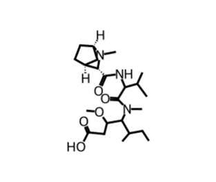 CCC(C)C(C(CC(=O)O)OC)N(C)C(=O)C(NC(=O)[C@@H]1[C@H]2CC[C@H](C2)N1C)C(C)C